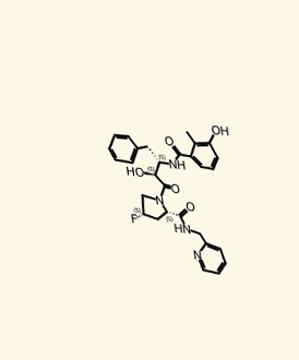 Cc1c(O)cccc1C(=O)N[C@@H](Cc1ccccc1)[C@H](O)C(=O)N1C[C@@H](F)C[C@H]1C(=O)NCc1ccccn1